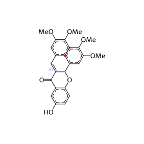 COc1ccc(/C=C2/C(=O)c3cc(O)ccc3OC2c2ccc(OC)c(OC)c2)cc1OC